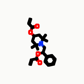 C=CC(=O)OC1CC(C)(C)N(CC(OC(=O)C=C)c2ccccc2)C(C)(C)C1